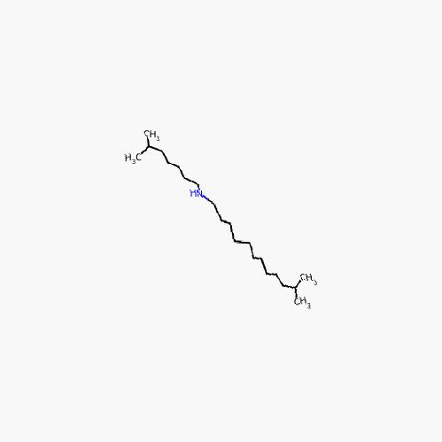 CC(C)CCCCCCCCCCNCCCCCC(C)C